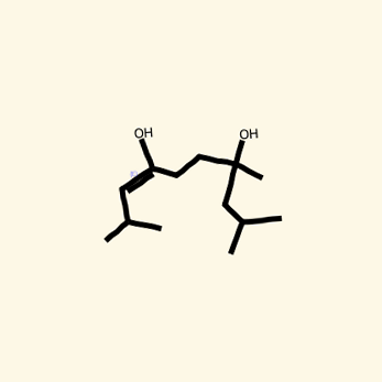 CC(C)/C=C(/O)CCC(C)(O)CC(C)C